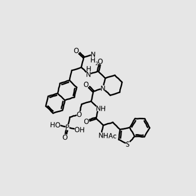 CC(=O)NC(Cc1csc2ccccc12)C(=O)NC(COCP(=O)(O)O)C(=O)N1CCCCC1C(=O)NC(Cc1ccc2ccccc2c1)C(N)=O